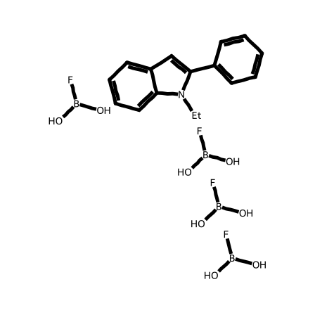 CCn1c(-c2ccccc2)cc2ccccc21.OB(O)F.OB(O)F.OB(O)F.OB(O)F